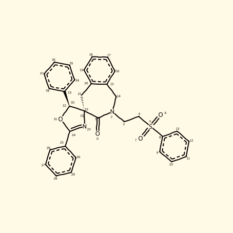 O=C1N(CCS(=O)(=O)c2ccccc2)Cc2ccccc2C[C@@]12N=C(c1ccccc1)O[C@H]2c1ccccc1